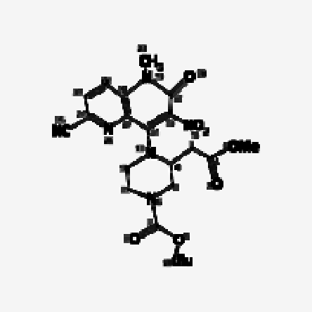 COC(=O)CC1CN(C(=O)OC(C)(C)C)CCN1c1c([N+](=O)[O-])c(=O)n(C)c2ccc(C#N)nc12